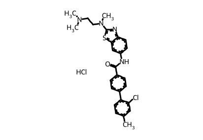 Cc1ccc(-c2ccc(C(=O)Nc3ccc4nc(N(C)CCN(C)C)sc4c3)cc2)c(Cl)c1.Cl